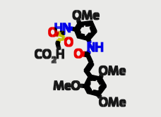 COc1cc(OC)c(/C=C/C(=O)Nc2ccc(OC)c(NS(=O)(=O)CC(=O)O)c2)c(OC)c1